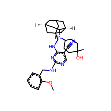 COc1ccccc1CNc1ncc(C#N)c(NCC23CC4C[C@H](C2)C(NC2CCC(C)(O)CC2)[C@@H](C4)C3)n1